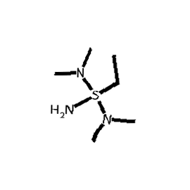 CCS(N)(N(C)C)N(C)C